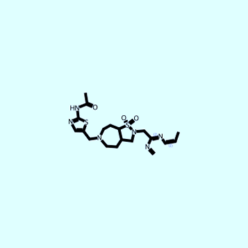 C=N/C(CN1CC2CCN(Cc3cnc(NC(C)=O)s3)CCC2S1(=O)=O)=N\C=C/C